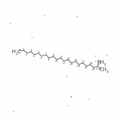 CCCCCCCCCCCCCCCCCCCCCC(C)P